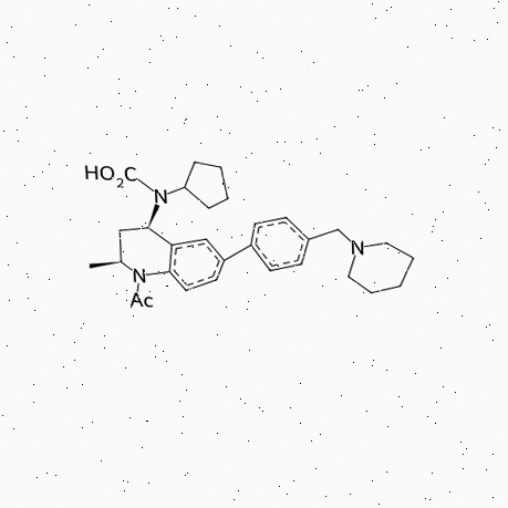 CC(=O)N1c2ccc(-c3ccc(CN4CCCCC4)cc3)cc2[C@H](N(C(=O)O)C2CCCC2)C[C@@H]1C